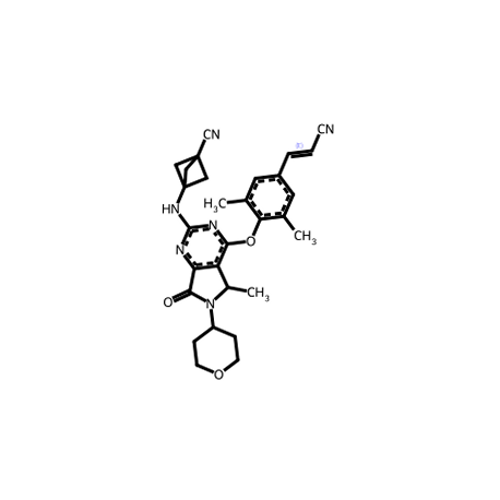 Cc1cc(/C=C/C#N)cc(C)c1Oc1nc(NC23CC(C#N)(C2)C3)nc2c1C(C)N(C1CCOCC1)C2=O